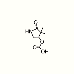 CC1(C)C(=O)NCC1OC(=O)O